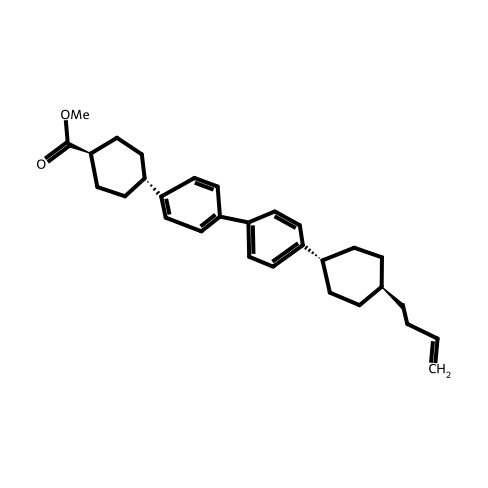 C=CCC[C@H]1CC[C@H](c2ccc(-c3ccc([C@H]4CC[C@H](C(=O)OC)CC4)cc3)cc2)CC1